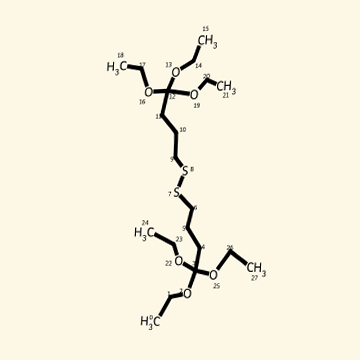 CCOC(CCCSSCCCC(OCC)(OCC)OCC)(OCC)OCC